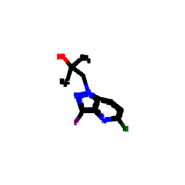 CC(C)(O)Cn1nc(I)c2nc(Cl)ccc21